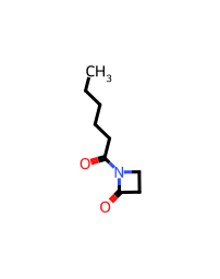 CCCCCC(=O)N1CCC1=O